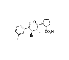 C[C@@H](C(=O)N1CCC[C@H]1C(=O)O)[C@@H](Br)C(=O)c1cccc(F)c1